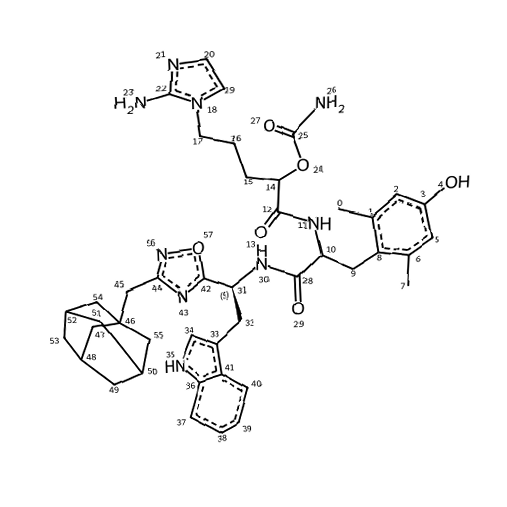 Cc1cc(O)cc(C)c1CC(NC(=O)C(CCCn1ccnc1N)OC(N)=O)C(=O)N[C@@H](Cc1c[nH]c2ccccc12)c1nc(CC23CC4CC(CC(C4)C2)C3)no1